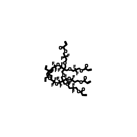 C=CC(=O)OCCC(F)(F)OC(F)(F)C(COCC(F)(F)COC(=O)C=C)(COCC(F)(F)COC(=O)C=C)COCC(COCC(F)(F)COC(=O)C=C)(C(F)(F)OC(F)(F)CCOC(=O)C=C)C(F)(F)OC(F)(F)CCOC(=O)C=C